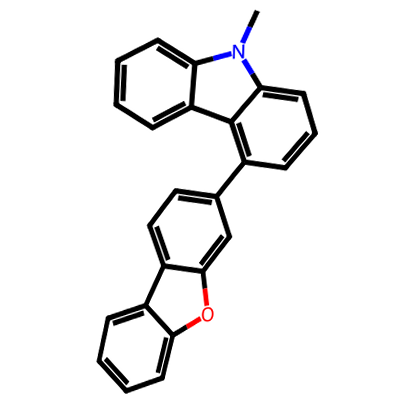 Cn1c2ccccc2c2c(-c3ccc4c(c3)oc3ccccc34)cccc21